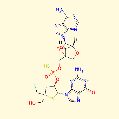 Nc1nc2c(ncn2[C@@H]2S[C@@](CO)(CF)C[C@H]2OP(=O)(S)OCC23CO[C@@H]([C@H](n4cnc5c(N)ncnc54)O2)[C@@H]3O)c(=O)[nH]1